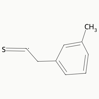 Cc1cccc(C[C]=S)c1